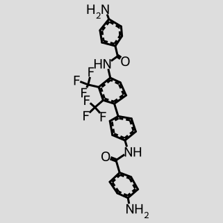 Nc1ccc(C(=O)Nc2ccc(-c3ccc(NC(=O)c4ccc(N)cc4)c(C(F)(F)F)c3C(F)(F)F)cc2)cc1